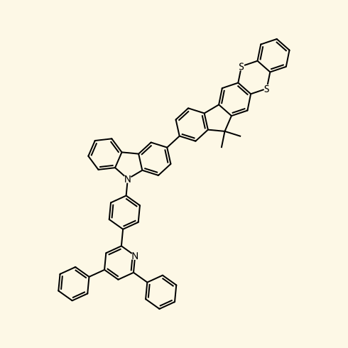 CC1(C)c2cc(-c3ccc4c(c3)c3ccccc3n4-c3ccc(-c4cc(-c5ccccc5)cc(-c5ccccc5)n4)cc3)ccc2-c2cc3c(cc21)Sc1ccccc1S3